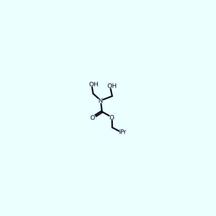 CC(C)COC(=O)N(CO)CO